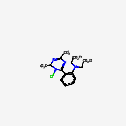 CCOC(=O)CN(CC(=O)OCC)c1ccccc1C1=NC(C(Cl)(Cl)Cl)=NC(C(Cl)(Cl)Cl)N1Cl